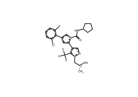 C[C@@H](O)Cn1ncc(-c2cc(-c3c(F)cccc3Cl)cn2C(=O)NC2CCCC2)c1C(F)(F)F